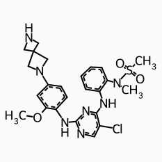 COc1cc(N2CC3(CNC3)C2)ccc1Nc1ncc(Cl)c(Nc2ccccc2N(C)S(C)(=O)=O)n1